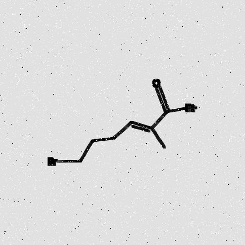 C[CH]C(=O)/C(C)=C/CCCBr